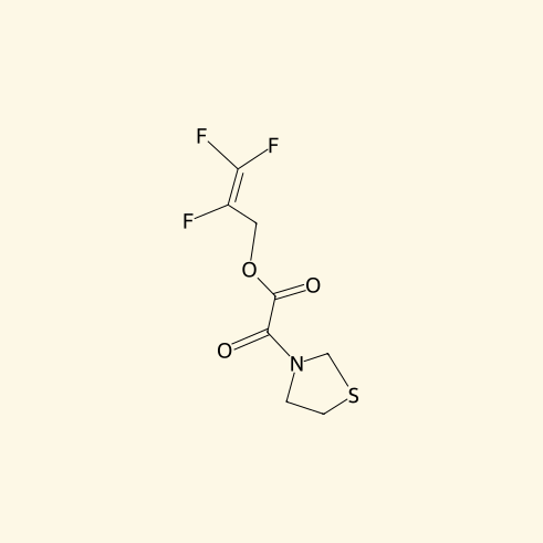 O=C(OCC(F)=C(F)F)C(=O)N1CCSC1